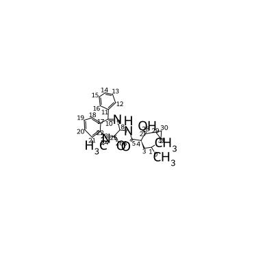 CC(C)C[C@@H](C(=O)NC1N=C(c2ccccc2)c2ccccc2N(C)C1=O)[C@@H](O)C1CC1